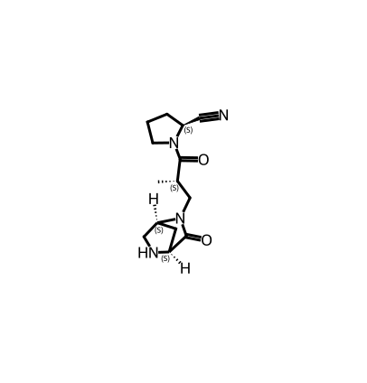 C[C@@H](CN1C(=O)[C@@H]2C[C@H]1CN2)C(=O)N1CCC[C@H]1C#N